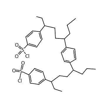 CCCC(CCC(CC)c1ccc(S(=O)(=O)Cl)cc1)c1ccc(C(CCC)CCC(CC)c2ccc(S(=O)(=O)Cl)cc2)cc1